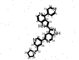 c1cc(-c2nccc3[nH]c(-c4n[nH]c5cnc(-c6cncc(CN7CCCC7)c6)cc45)cc23)ccn1